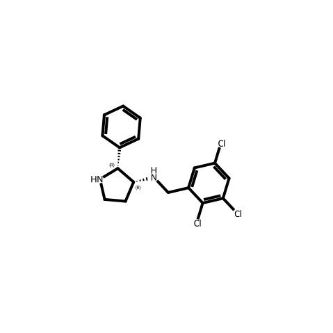 Clc1cc(Cl)c(Cl)c(CN[C@@H]2CCN[C@@H]2c2ccccc2)c1